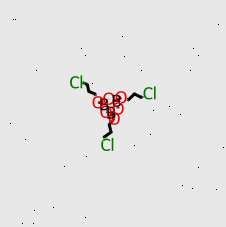 ClCCCOB1OB(OCCCCl)OB(OCCCCl)O1